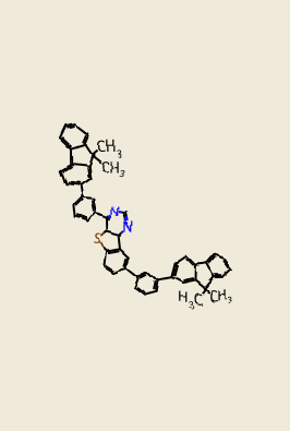 CC1(C)c2ccccc2-c2ccc(-c3cccc(C4=NC=NC5c6cc(-c7cccc(-c8ccc9c(c8)C(C)(C)c8ccccc8-9)c7)ccc6SC45)c3)cc21